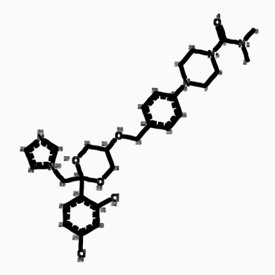 CN(C)C(=O)N1CCN(c2ccc(COC3COC(Cn4ccnc4)(c4ccc(Cl)cc4Cl)OC3)cc2)CC1